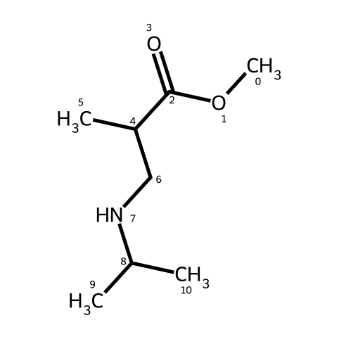 COC(=O)C(C)CNC(C)C